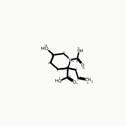 C=CCC1(C(=O)O)CCC(O)CN1C(=O)O